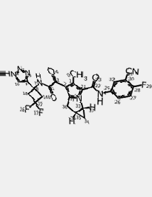 Cc1c(C(=O)C(=O)NC2(c3c[nH]nn3)CC(F)(F)C2)c2n(c1C(=O)Nc1ccc(F)c(C#N)c1)[C@@H]1C[C@@H]1C2